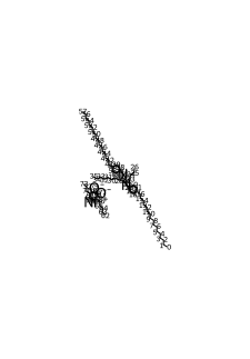 CCCCCCCCCCCCCCCCCc1ccc(/N=C(CCCC)/C(CCCCCCCC)=N/c2ccc(CCCCCCCCCCCCCCCCC)cc2)cc1.CCCCCc1ccc(CCC)c([O-])c1[O-].[Ni+2]